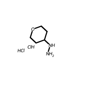 Cl.Cl.NNC1CCOCC1